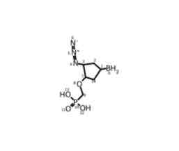 BC1CC(N=[N+]=[N-])C(OCP(=O)(O)O)C1